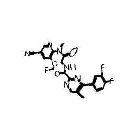 Cc1cnc(C(=O)NCC(=O)N(C)c2ncc(C#N)cc2OCF)nc1-c1ccc(F)c(F)c1